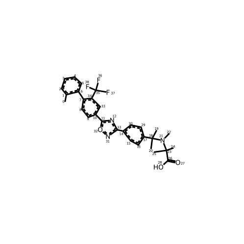 Cc1ccccc1-c1ccc(-c2nc(-c3ccc(C(C)(C)N(C)C(C)(C)C(=O)O)cc3)no2)cc1C(F)(F)F